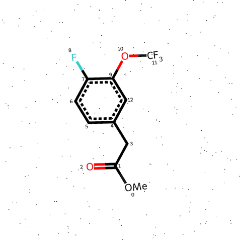 COC(=O)Cc1ccc(F)c(OC(F)(F)F)c1